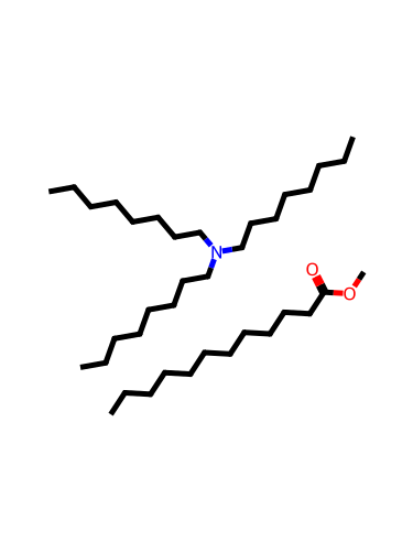 CCCCCCCCCCCC(=O)OC.CCCCCCCCN(CCCCCCCC)CCCCCCCC